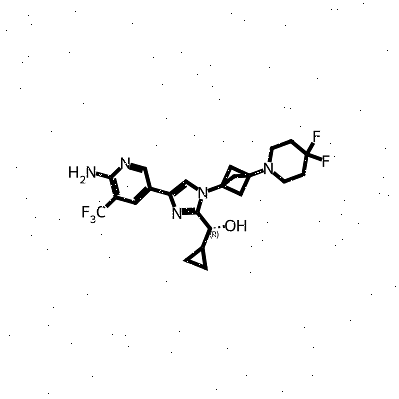 Nc1ncc(-c2cn(C34CC(N5CCC(F)(F)CC5)(C3)C4)c([C@H](O)C3CC3)n2)cc1C(F)(F)F